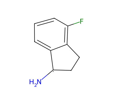 N[C]1CCc2c(F)cccc21